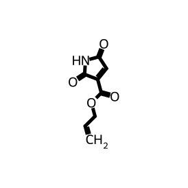 C=CCOC(=O)C1=CC(=O)NC1=O